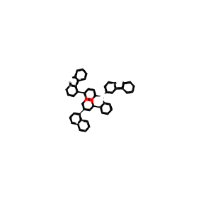 c1cc(-c2ccccc2N(c2ccc(-c3cccc4sc5ccccc5c34)cc2)c2ccc3oc4ccccc4c3c2)cc(-c2cccc3ccccc23)c1